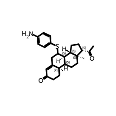 CC(=O)[C@H]1CC[C@H]2[C@@H]3C(Sc4ccc(N)cc4)CC4=CC(=O)CC[C@]4(C)[C@H]3CC[C@]12C